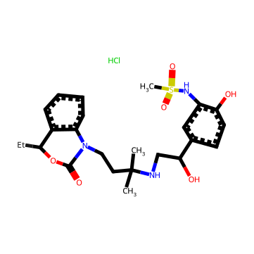 CCC1OC(=O)N(CCC(C)(C)NCC(O)c2ccc(O)c(NS(C)(=O)=O)c2)c2ccccc21.Cl